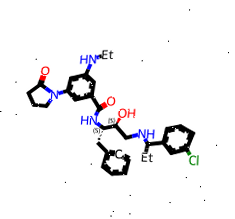 CCNc1cc(C(=O)N[C@@H](Cc2ccccc2)[C@@H](O)CNC(CC)c2cccc(Cl)c2)cc(N2CCCC2=O)c1